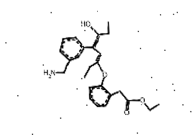 CCOC(=O)Cc1ccccc1O/C(=C/C(=C(/O)CC)c1cccc(CN)c1)CC